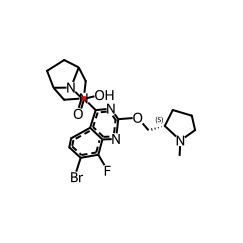 CN1CCC[C@H]1COc1nc(N2CC3CCC(C2)N3C(=O)O)c2ccc(Br)c(F)c2n1